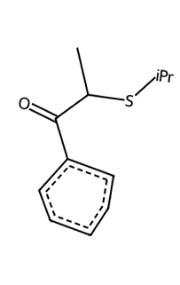 CC(C)SC(C)C(=O)c1ccccc1